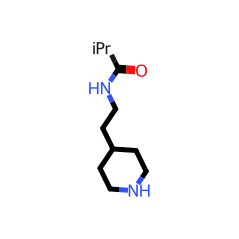 CC(C)C(=O)NCCC1CCNCC1